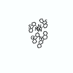 c1ccc2cc3c(cc2c1)c1ccc2ccccc2c1n3-c1cc(-c2nc(-c3cccc4sc5ccccc5c34)nc(-c3cccc4sc5ccccc5c34)n2)cc2oc3ccccc3c12